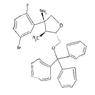 C[C@@H]1[C@@H](COC(c2ccccc2)(c2ccccc2)c2ccccc2)OC[C@@]1(N)c1cc(Br)ccc1F